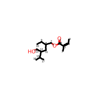 CC=C(C)C(=O)OCC(CC)CC(CO)C(C)C